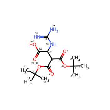 CC(C)(C)OC(=O)C(C(=O)OC(C)(C)C)C(NC(=N)N)C(=O)O